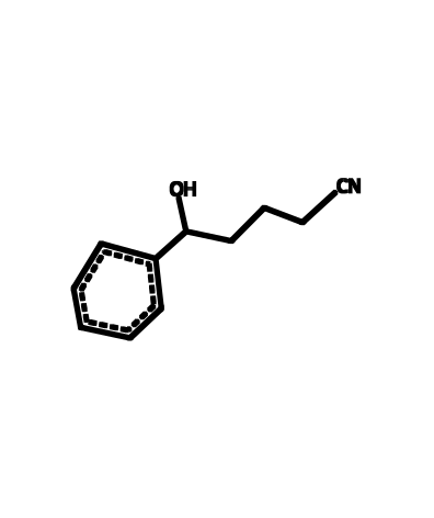 N#CCCCC(O)c1ccccc1